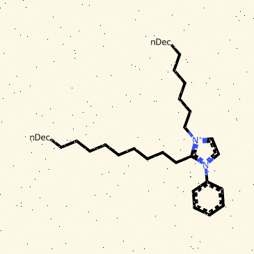 CCCCCCCCCCCCCCCCCCCc1n(-c2ccccc2)cc[n+]1CCCCCCCCCCCCCCCC